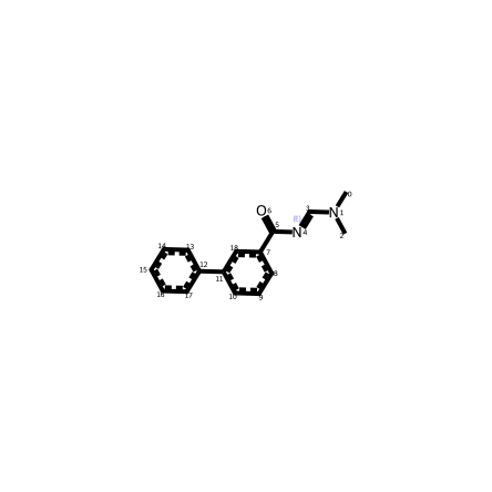 CN(C)/C=N/C(=O)c1cccc(-c2ccccc2)c1